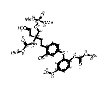 C=CC[C@](CCc1ccc(Sc2cc(OCC)ccc2OC(=O)OC(C)(C)C)cc1Cl)(COP(=O)(OC)OC)NC(=O)OC(C)(C)C